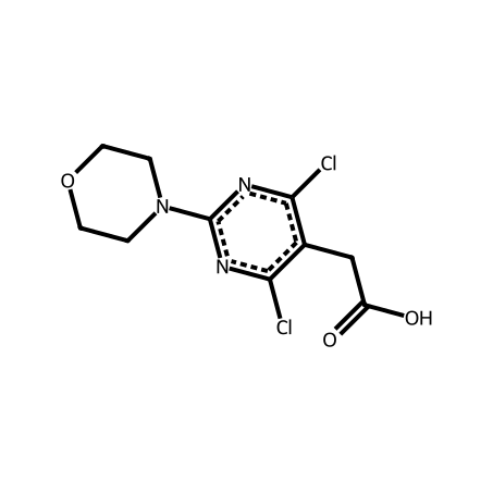 O=C(O)Cc1c(Cl)nc(N2CCOCC2)nc1Cl